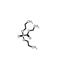 CCCOP(=O)(OCCC)C(=O)OCC